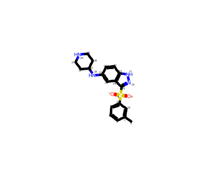 Cc1cccc(S(=O)(=O)c2n[nH]c3ccc(NC4CCNCC4)cc23)c1